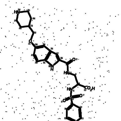 O=C(NCC(NS(=O)(=O)c1ccccc1)C(=O)O)c1cc2cc(OCC3CCNCC3)ccc2[nH]1